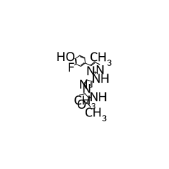 CCC(=O)C(=N)C(CC)n1cc(Nc2ncc(C)c(-c3ccc(O)c(F)c3)n2)cn1